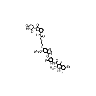 CCc1ccc2c(c1)c(=O)c(C(=O)Nc1ccc(Oc3ncnc4cc(OCCCCC(=O)Nc5cccc6c5CN(C5CCC(=O)NC5=O)C6=O)c(OC)cc34)c(F)c1)c(C)n2C